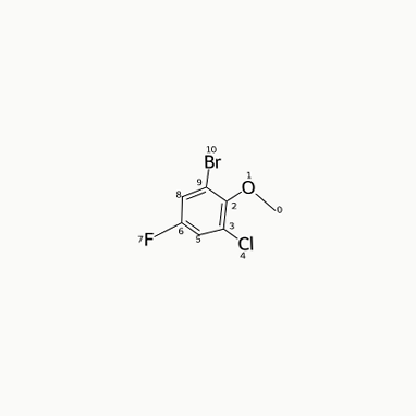 COc1c(Cl)cc(F)cc1Br